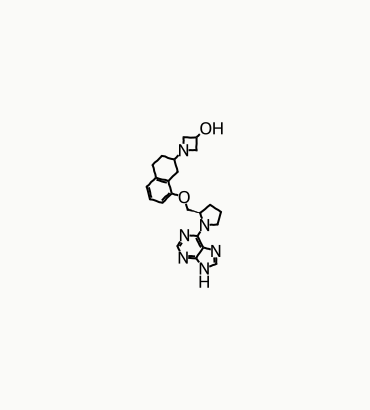 OC1CN(C2CCc3cccc(OC[C@H]4CCCN4c4ncnc5[nH]cnc45)c3C2)C1